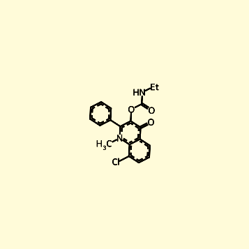 CCNC(=O)Oc1c(-c2ccccc2)n(C)c2c(Cl)cccc2c1=O